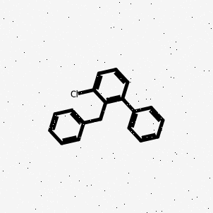 Clc1cc[c]c(-c2ccccc2)c1Cc1ccccc1